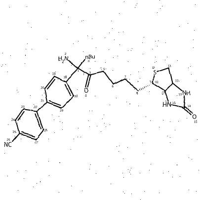 CCCCC(N)(C(=O)CCCC[C@@H]1SCC2NC(=O)NC21)c1ccc(-c2ccc(C#N)cc2)cc1